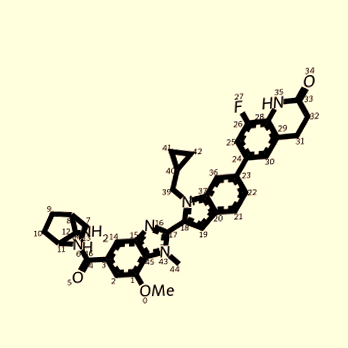 COc1cc(C(=O)N2CC3CCC2[C@@H]3N)cc2nc(-c3cc4ccc(-c5cc(F)c6c(c5)CCC(=O)N6)cc4n3CC3CC3)n(C)c12